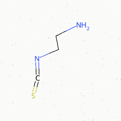 NCCN=C=S